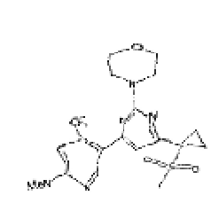 CNc1cc(C(F)(F)F)c(-c2cc(C3(S(C)(=O)=O)CC3)nc(N3CCOCC3)n2)cn1